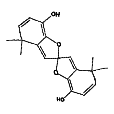 CC1(C)C=CC(O)=C2OC3(C=C21)C=C1C(=C(O)C=CC1(C)C)O3